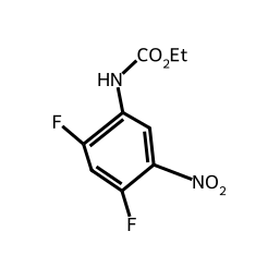 CCOC(=O)Nc1cc([N+](=O)[O-])c(F)cc1F